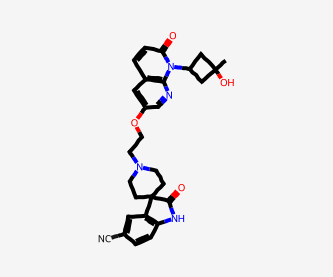 CC1(O)CC(n2c(=O)ccc3cc(OCCN4CCC5(CC4)C(=O)Nc4ccc(C#N)cc45)cnc32)C1